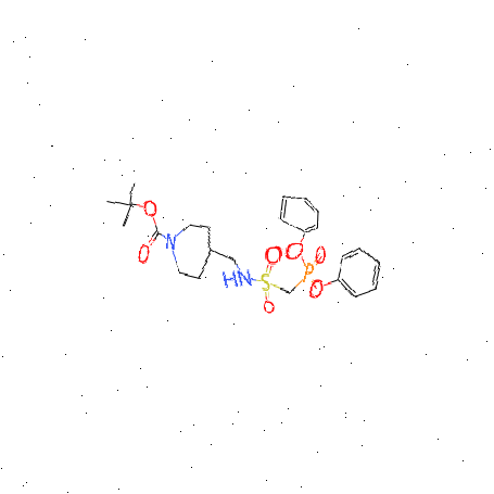 CC(C)(C)OC(=O)N1CCC(CNS(=O)(=O)CP(=O)(Oc2ccccc2)Oc2ccccc2)CC1